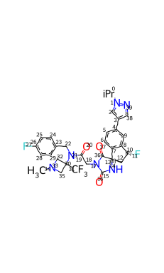 CC(C)n1cc(-c2ccc3c(c2)[C@H](F)C[C@]32NC(=O)N(CC(=O)N(Cc3ccc(F)cc3)C3(C(F)(F)F)CN(C)C3)C2=O)cn1